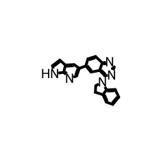 c1ccc2c(c1)CCN2c1ncnc2ccc(-c3cnc4[nH]ccc4c3)cc12